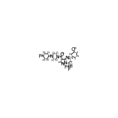 COc1cccc(-c2cc(C(F)(F)F)n3ncc(C(=O)N4CCN(c5ccc(F)cc5)CC4)c3n2)c1